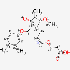 COC1C(C)C(=O)[C@H](COc2ccc(C)c(C)c2)[C@H]1C/C=C\OCCC(=O)O